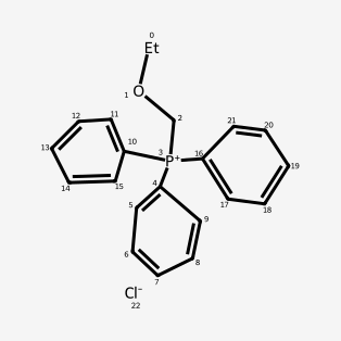 CCOC[P+](c1ccccc1)(c1ccccc1)c1ccccc1.[Cl-]